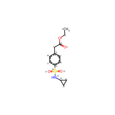 CCOC(=O)Cc1ccc(S(=O)(=O)NC2CC2)cc1